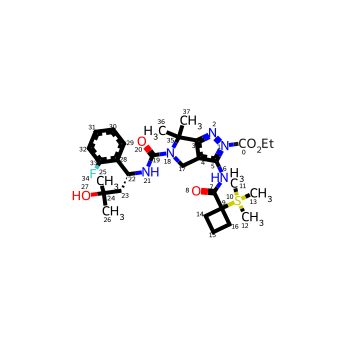 CCOC(=O)n1nc2c(c1NC(=O)C1(S(C)(C)C)CCC1)CN(C(=O)N[C@H](CC(C)(C)O)c1ccccc1F)C2(C)C